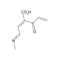 C=CC(=O)/C(=C\C=N\C)C(=O)O